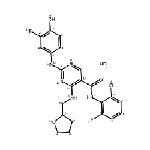 Cl.O=C(Nc1c(F)cccc1Cl)c1cnc(Nc2ccc(O)c(F)c2)nc1NCC1CCCO1